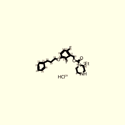 CC[C@@H]1CNCCN1C(=O)OCc1c(F)ccc(OCCCc2ccccc2)c1F.Cl